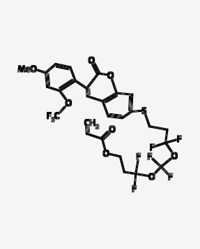 C=CC(=O)OCCC(F)(F)OC(F)(F)OC(F)(F)CCSc1ccc2cc(-c3ccc(OC)cc3OC(F)(F)F)c(=O)oc2c1